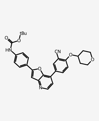 CC(C)(C)OC(=O)Nc1ccc(-c2cc3nccc(-c4ccc(OC5CCOCC5)c(C#N)c4)c3o2)cc1